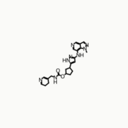 Cn1ncc2cncc(Nc3cc(C4CCC(OC(=O)NCC5=CN=CCC5)C4)[nH]n3)c21